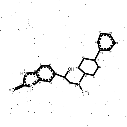 CN(CC(O)c1ccc2[nH]c(=O)[nH]c2c1)C1CCC(c2ccccc2)CC1